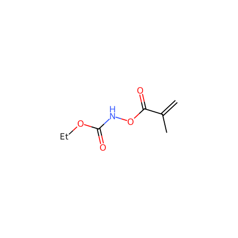 [CH2]COC(=O)NOC(=O)C(=C)C